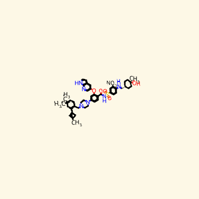 CC1(C)CCC(CN2CCN(c3ccc(C(=O)NS(=O)(=O)c4ccc(NC[C@H]5CC[C@](C)(O)CC5)c([N+](=O)[O-])c4)c(Oc4cnc5[nH]ccc5c4)c3)CC2)=C(C23CC(C)(C2)C3)C1